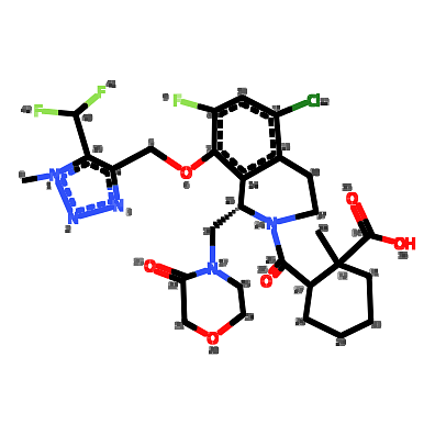 Cn1nnc(COc2c(F)cc(Cl)c3c2[C@@H](CN2CCOCC2=O)N(C(=O)C2CCCCC2(C)C(=O)O)CC3)c1C(F)F